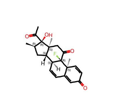 CC(=O)[C@@]1(O)[C@H](C)C[C@H]2[C@@H]3C=CC4=CC(=O)C=C[C@]4(C)[C@@]3(F)C(=O)C[C@@]21C